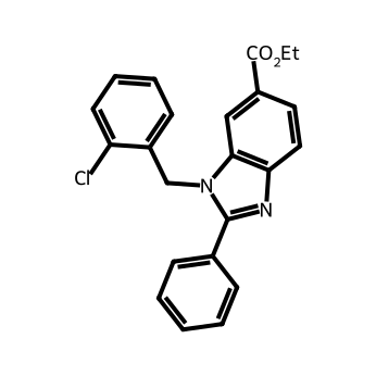 CCOC(=O)c1ccc2nc(-c3ccccc3)n(Cc3ccccc3Cl)c2c1